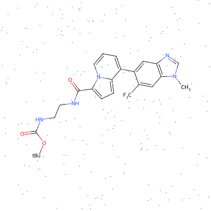 Cn1cnc2cc(-c3cccn4c(C(=O)NCCNC(=O)OC(C)(C)C)ccc34)c(C(F)(F)F)cc21